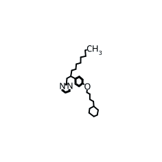 CCCCCCCCC(Cc1ncccn1)c1ccc(OCCCCC2CCCCC2)cc1